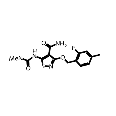 CNC(=O)Nc1snc(OCc2ccc(C)cc2F)c1C(N)=O